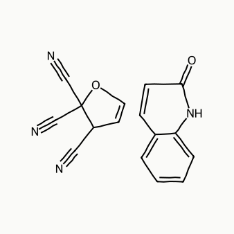 N#CC1C=COC1(C#N)C#N.O=c1ccc2ccccc2[nH]1